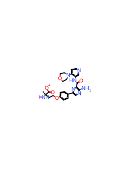 COC(=O)[C@](C)(CCOc1ccc(-c2cnc(N)c(C(=O)Nc3cnccc3N3CCOCC3)n2)cc1)NI